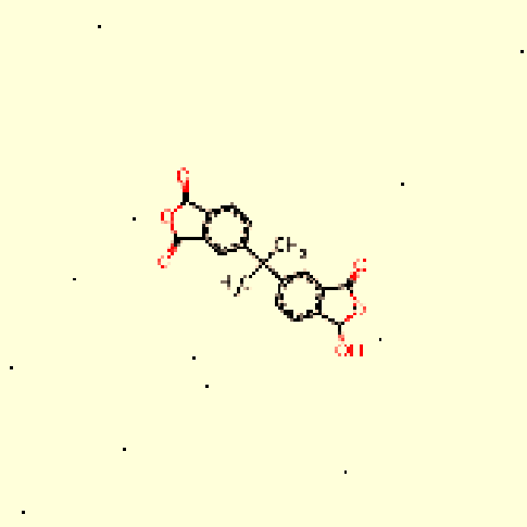 CC(C)(c1ccc2c(c1)C(=O)OC2=O)c1ccc2c(c1)C(=O)OC2O